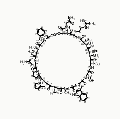 CCCC[C@@H]1NC(=O)[C@H](CO)NC(=O)[C@H](Cc2c[nH]c3ccccc23)NC(=O)CN(C)C(=O)[C@H](CC(C)C)NC(=O)[C@H](Cc2cnc[nH]2)NC(=O)[C@@H]2CCCN2C(=O)[C@H](CC(N)=O)NC(=O)[C@H](C)N(C)C(=O)[C@H](Cc2ccccc2)NC(=O)CSC[C@@H](C(=O)NCC(N)=O)NC(=O)[C@H](CCCNC(=N)N)NC(=O)[C@H](CCCC)N(C)C(=O)[C@H](CCCC)N(C)C1=O